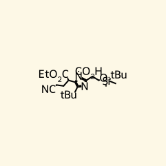 CCOC(=O)C(CCC#N)c1c(C(C)(C)C)nc(CCO[Si](C)(C)C(C)(C)C)n1C(=O)O